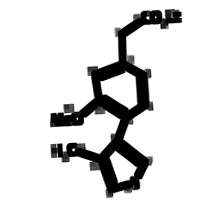 CCOC(=O)Cc1ccc(-c2cscc2C)c(OC)c1